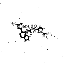 Cc1cc(-c2ccc3c(c2NC(=O)NS(=O)(=O)c2ccn(C(C)C)n2)CCC3)n(C)n1